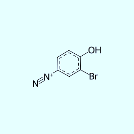 N#[N+]c1ccc(O)c(Br)c1